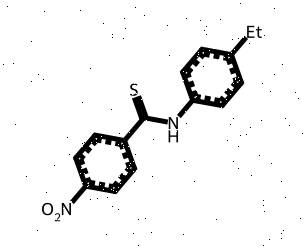 CCc1ccc(NC(=S)c2ccc([N+](=O)[O-])cc2)cc1